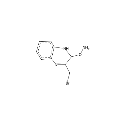 NOC1Nc2ccccc2N=C1CBr